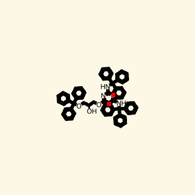 O[C@H](COc1cc(NC(c2ccccc2)(c2ccccc2)c2ccccc2)nc(NC(c2ccccc2)(c2ccccc2)c2ccccc2)n1)COC(c1ccccc1)(c1ccccc1)c1ccccc1